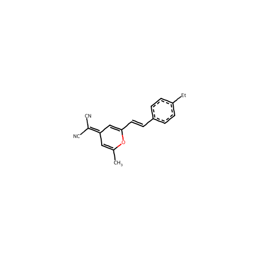 CCc1ccc(/C=C/C2=CC(=C(C#N)C#N)C=C(C)O2)cc1